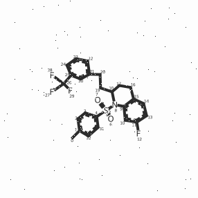 Cc1ccc(S(=O)(=O)N2c3cc(F)ccc3CCC2CCc2cccc(C(F)(F)F)c2)cc1